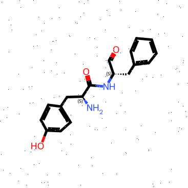 N[C@@H](Cc1ccc(O)cc1)C(=O)N[C@H]([C]=O)Cc1ccccc1